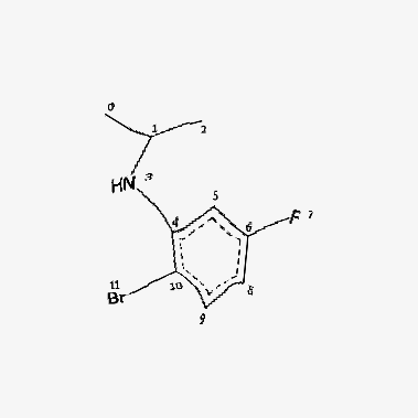 CC(C)Nc1cc(F)ccc1Br